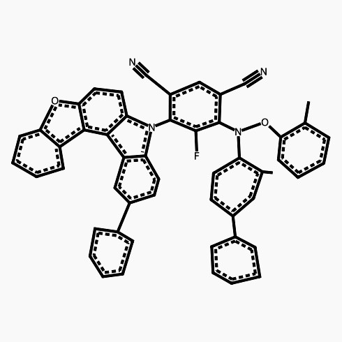 Cc1ccccc1ON(c1ccc(-c2ccccc2)cc1C)c1c(C#N)cc(C#N)c(-n2c3ccc(-c4ccccc4)cc3c3c4c(ccc32)oc2ccccc24)c1F